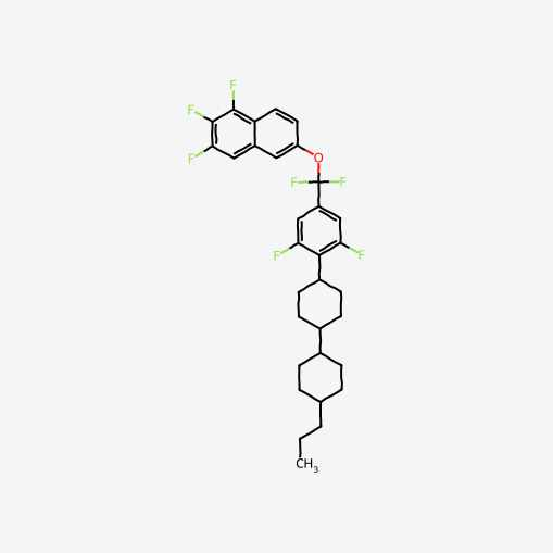 CCCC1CCC(C2CCC(c3c(F)cc(C(F)(F)Oc4ccc5c(F)c(F)c(F)cc5c4)cc3F)CC2)CC1